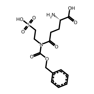 N[C@@H](CCC(=O)N(CCS(=O)(=O)O)C(=O)OCc1ccccc1)C(=O)O